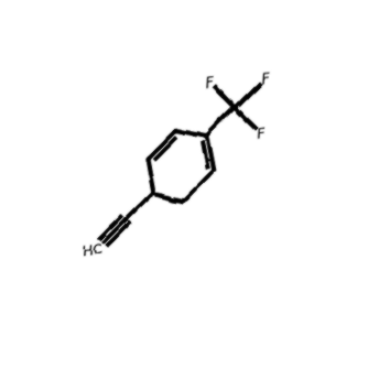 C#C[C]1C=CC(C(F)(F)F)=CC1